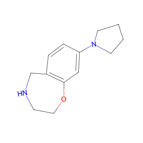 c1cc2c(cc1N1CCCC1)OCCNC2